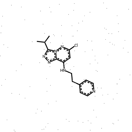 CC(C)c1nnc2c(NCCc3ccncc3)cc(Cl)nn12